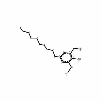 CCCCCCCCCCc1cc(CO)c(O)c(CO)c1